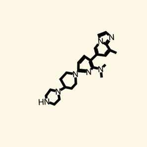 Cc1cc(-c2ccc(N3CCC(N4CCNCC4)CC3)nc2N(C)C)cn2ccnc12